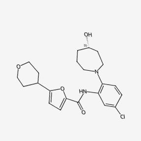 O=C(Nc1cc(Cl)ccc1N1CCC[C@H](O)CC1)c1ccc(C2CCOCC2)o1